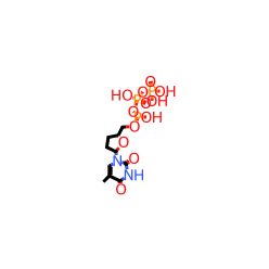 Cc1cn(C2CCC(COP(O)OP(=O)(O)OP(=O)(O)O)O2)c(=O)[nH]c1=O